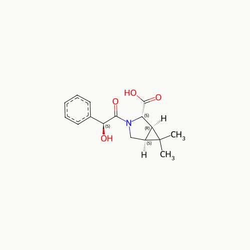 CC1(C)[C@@H]2[C@@H](C(=O)O)N(C(=O)[C@@H](O)c3ccccc3)C[C@@H]21